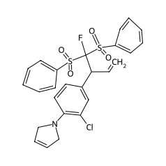 C=CC(c1ccc(N2CC=CC2)c(Cl)c1)C(F)(S(=O)(=O)c1ccccc1)S(=O)(=O)c1ccccc1